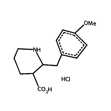 COc1ccc(CC2NCCCC2C(=O)O)cc1.Cl